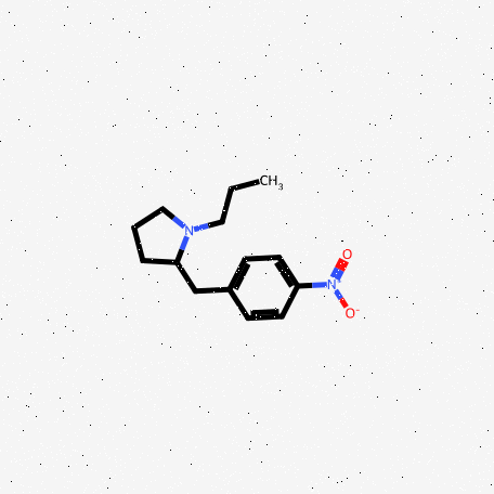 CCCN1CCCC1Cc1ccc([N+](=O)[O-])cc1